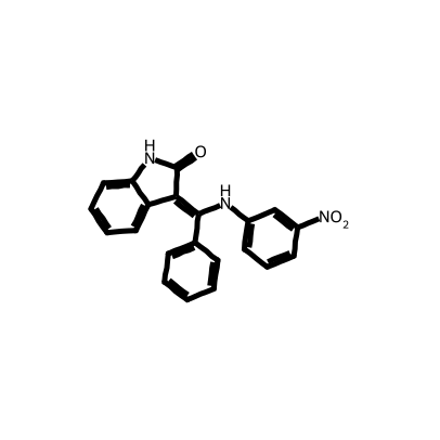 O=C1Nc2ccccc2/C1=C(/Nc1cccc([N+](=O)[O-])c1)c1ccccc1